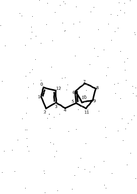 C1=CCC(CC2=C3CCC(C3)C2)=C1